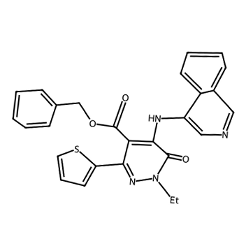 CCn1nc(-c2cccs2)c(C(=O)OCc2ccccc2)c(Nc2cncc3ccccc23)c1=O